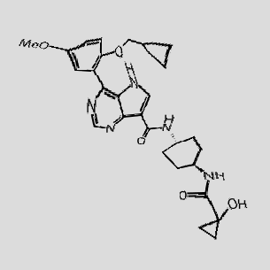 COc1ccc(OCC2CC2)c(-c2ncnc3c(C(=O)N[C@H]4CC[C@H](NC(=O)C5(O)CC5)CC4)c[nH]c23)c1